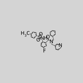 Cc1ccc(S(=O)(=O)Nc2ccc(F)cc2C(=O)N(Cc2ccccc2)Cc2cccnc2)cc1